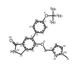 [2H]C([2H])([2H])Oc1ccc(-c2cc3c(cc2OCc2ccn(C)n2)CNC3=O)cc1